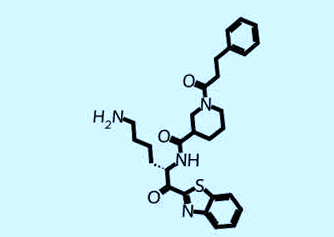 NCCCC[C@H](NC(=O)C1CCCN(C(=O)CCc2ccccc2)C1)C(=O)c1nc2ccccc2s1